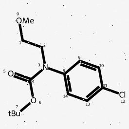 COCCN(C(=O)OC(C)(C)C)c1ccc(Cl)cc1